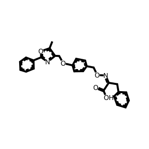 Cc1oc(-c2ccccc2)nc1COc1ccc(CON=C(Cc2ccccc2)C(=O)O)cc1